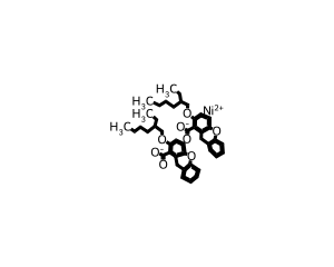 CCCCC(CC)COc1ccc2c(c1C(=O)[O-])Cc1ccccc1O2.CCCCC(CC)COc1ccc2c(c1C(=O)[O-])Cc1ccccc1O2.[Ni+2]